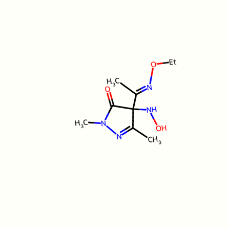 CCO/N=C(\C)C1(NO)C(=O)N(C)N=C1C